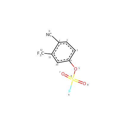 N#Cc1ccc(OS(=O)(=O)F)cc1C(F)(F)F